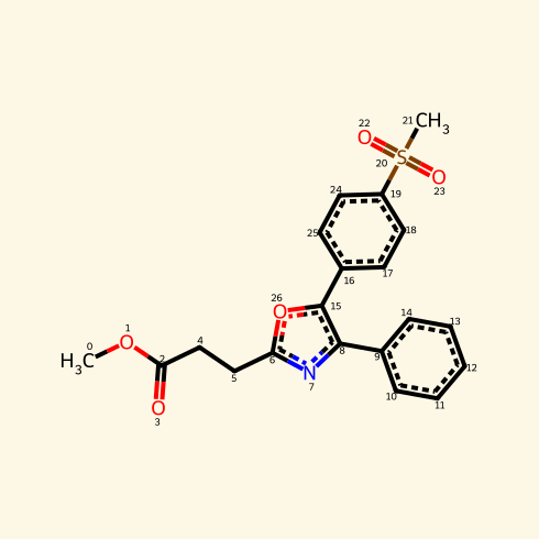 COC(=O)CCc1nc(-c2ccccc2)c(-c2ccc(S(C)(=O)=O)cc2)o1